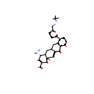 CN(C)C1C(O)=C(C(N)=O)C(=O)C2(O)C(O)=C3C(=O)c4c(O)ccc(-c5ccc(CNC(C)(C)C)o5)c4CC3CC12